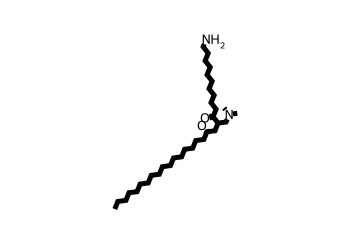 CCCCCCCCCCCCCCCCCC(=O)CC(CN(C)C)C(=O)CCCCCCCCCCN